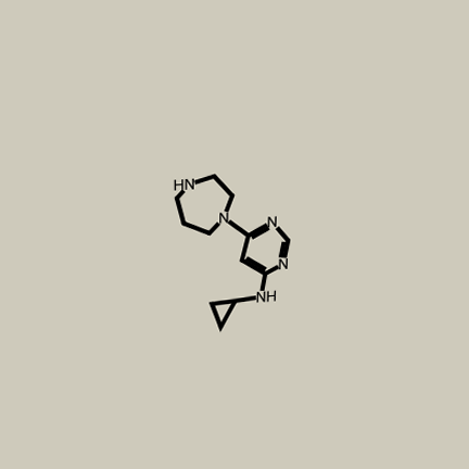 c1nc(NC2CC2)cc(N2CCCNCC2)n1